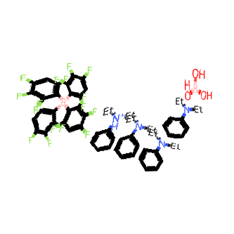 CCN(CC)c1ccccc1.CCN(CC)c1ccccc1.CCN(CC)c1ccccc1.CC[NH+](CC)c1ccccc1.Fc1cc(F)c([B-](c2c(F)cc(F)c(F)c2F)(c2c(F)cc(F)c(F)c2F)c2c(F)cc(F)c(F)c2F)c(F)c1F.OB(O)O